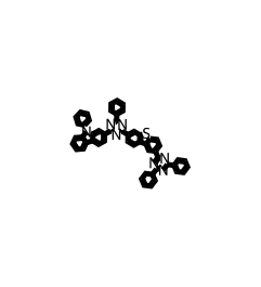 C1=CCC(c2nc(-c3ccccc3)nc(-c3ccc4sc5cc(-c6nc(-c7ccccc7)nc(-c7ccc8c9ccccc9n(-c9ccccc9)c8c7)n6)ccc5c4c3)n2)C=C1